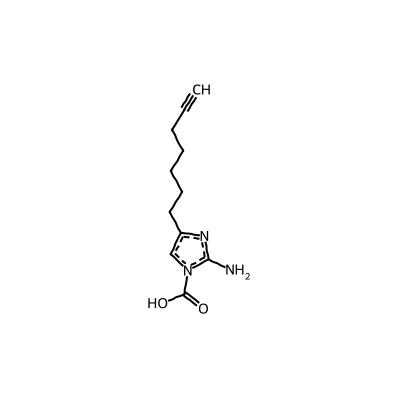 C#CCCCCCc1cn(C(=O)O)c(N)n1